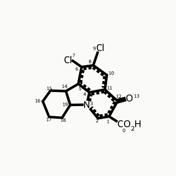 O=C(O)c1cn2c3c(c(Cl)c(Cl)cc3c1=O)C1CCCCC12